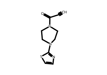 C#CC(=O)N1CCN(c2nccs2)CC1